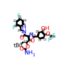 CC(C)(C)C[C@H](OC(N)=O)c1oc(-c2ccc(OC(F)F)c(O)c2)nc1C(=O)NCc1ccc(F)cc1F